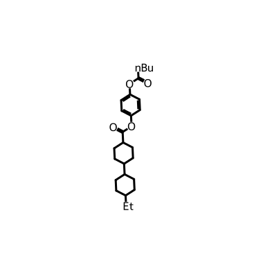 CCCCC(=O)Oc1ccc(OC(=O)C2CCC(C3CCC(CC)CC3)CC2)cc1